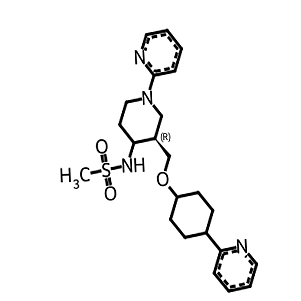 CS(=O)(=O)NC1CCN(c2ccccn2)C[C@H]1COC1CCC(c2ccccn2)CC1